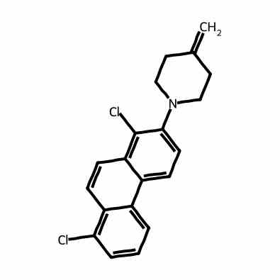 C=C1CCN(c2ccc3c(ccc4c(Cl)cccc43)c2Cl)CC1